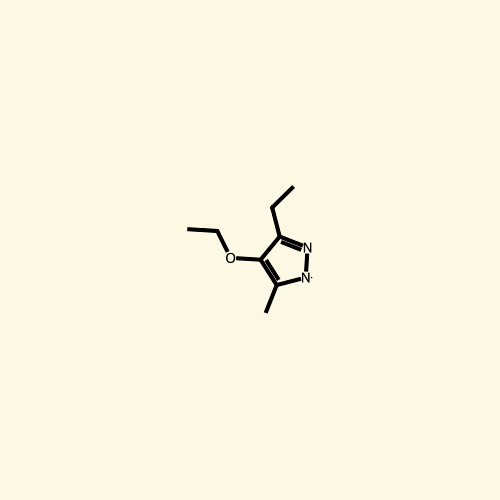 CCOC1=C(C)[N]N=C1CC